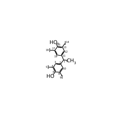 CC(c1cc(I)c(O)c(I)c1)c1cc(I)c(O)c(I)c1